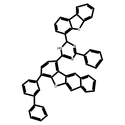 c1ccc(C2=NC(c3cccc4c3sc3ccccc34)NC(c3ccc(-c4cccc(-c5ccccc5)c4)c4oc5cc6ccccc6cc5c34)=N2)cc1